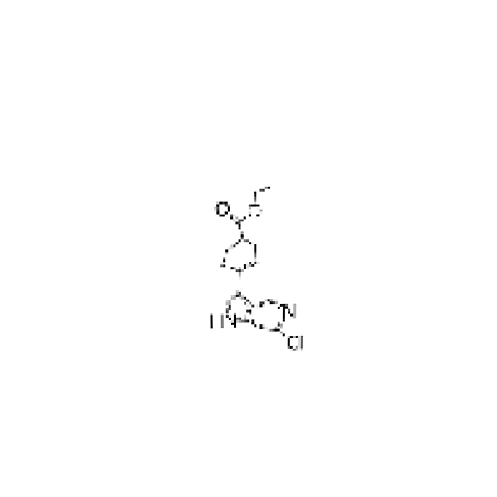 CCOC(=O)C1CC=C(c2c[nH]c3cc(Cl)ncc23)CC1